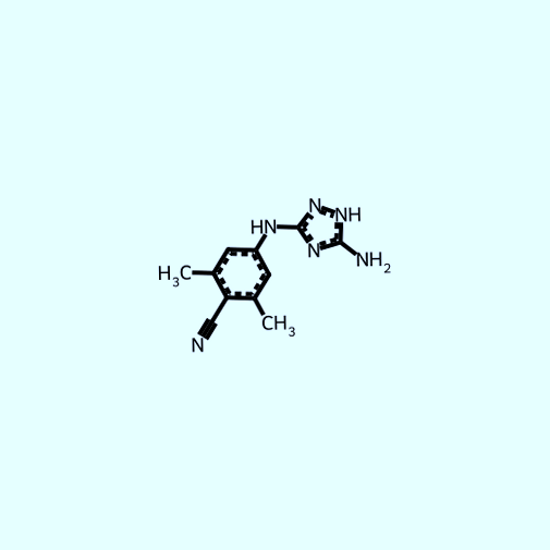 Cc1cc(Nc2n[nH]c(N)n2)cc(C)c1C#N